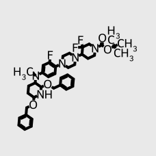 CN(c1ccc(N2CCN(C3CCN(C(=O)OC(C)(C)C)CC3(F)F)CC2)c(F)c1)C1CCC(OCc2ccccc2)NC1OCc1ccccc1